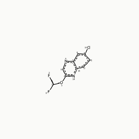 FC(F)Oc1cnc2cc(Cl)ccc2n1